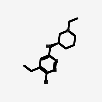 CCc1cc(N[C@@H]2CCCN(CC)C2)nnc1Cl